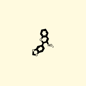 O=[N+]([O-])C1=Cc2ccccc2OC1c1ccc2c(c1)OCO2